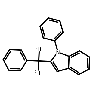 [2H]C([2H])(c1ccccc1)c1cc2ccccc2n1-c1ccccc1